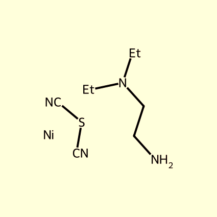 CCN(CC)CCN.N#CSC#N.[Ni]